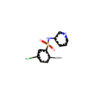 COc1ccc(Br)cc1S(=O)(=O)Nc1cccnc1